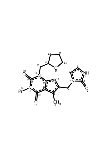 Cc1c(Cn2cc[nH]c2=O)sc2c1c(=O)n(C(C)C)c(=O)n2CC1CCCO1